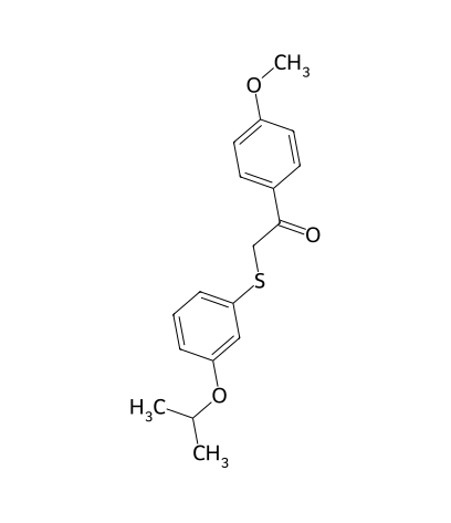 COc1ccc(C(=O)CSc2cccc(OC(C)C)c2)cc1